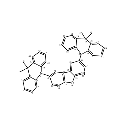 CC1(C)c2ccccc2N(c2cnc3oc4ncc(N5c6ccccc6C(C)(C)c6ccccc65)cc4c3c2)c2ccccc21